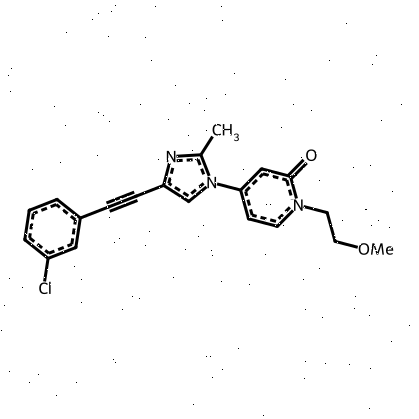 COCCn1ccc(-n2cc(C#Cc3cccc(Cl)c3)nc2C)cc1=O